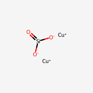 O=[Si]([O-])[O-].[Cu+].[Cu+]